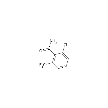 NC(=O)c1c(Cl)cccc1C(F)(F)F